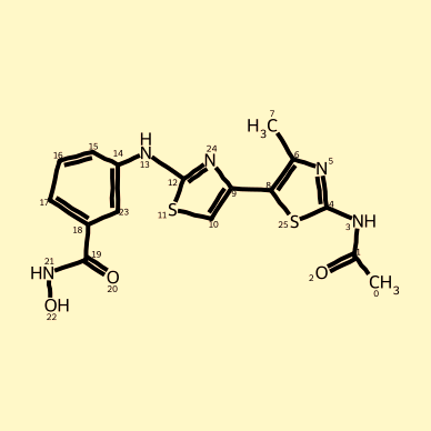 CC(=O)Nc1nc(C)c(-c2csc(Nc3cccc(C(=O)NO)c3)n2)s1